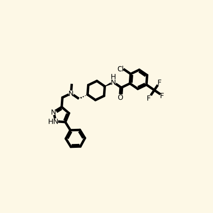 CN(Cc1cc(-c2ccccc2)[nH]n1)C[C@H]1CC[C@H](NC(=O)c2cc(C(F)(F)F)ccc2Cl)CC1